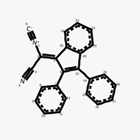 [C-]#[N+]/C(C#N)=C1/C(c2ccccc2)=C(c2ccccc2)c2ccccc21